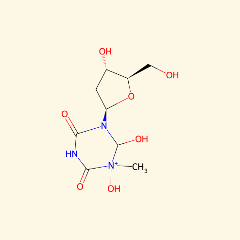 C[N+]1(O)C(=O)NC(=O)N([C@H]2C[C@H](O)[C@@H](CO)O2)C1O